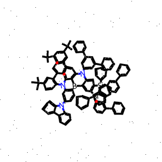 CC(C)(C)c1cc(-c2cc3c4c(c2)N(c2ccc(C(C)(C)C)cc2-c2ccccc2)c2cc(-n5c6ccccc6c6ccccc65)ccc2B4c2cc([Si](c4ccccc4)(c4ccccc4)c4cccc(-c5ccccc5)c4)c([Si](c4ccccc4)(c4ccccc4)c4cccc(-c5ccccc5)c4)cc2N3c2cc(-c3ccccc3)cc(-c3ccccc3)c2)cc(C(C)(C)C)c1